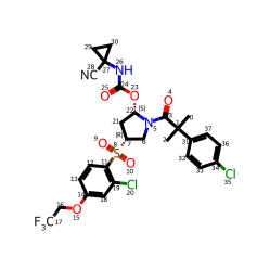 CC(C)(C(=O)N1C[C@H](S(=O)(=O)c2ccc(OCC(F)(F)F)cc2Cl)C[C@@H]1OC(=O)NC1(C#N)CC1)c1ccc(Cl)cc1